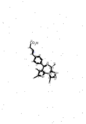 Cc1sc2c(c1C)C(c1ccc(/C=C/CC(=O)O)cc1)=N[C@@H](C)c1nnc(C)n1-2